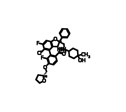 CC1(O)CCC(NC[C@@]2(c3ccccc3)Cc3c(cc(F)c(Cl)c3-c3c(C(N)=O)ccc(OC[C@H]4CCCO4)c3F)O2)CC1